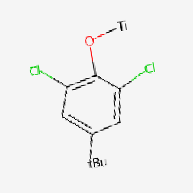 CC(C)(C)c1cc(Cl)c([O][Ti])c(Cl)c1